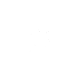 C=N/C=C1/C=CC=C/C1=N/CCC